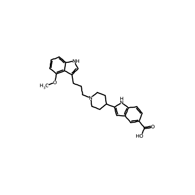 COc1cccc2[nH]cc(CCCN3CCC(c4cc5cc(C(=O)O)ccc5[nH]4)CC3)c12